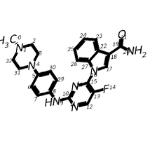 CN1CCN(c2ccc(Nc3ncc(F)c(-n4cc(C(N)=O)c5ccccc54)n3)cc2)CC1